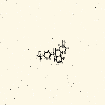 FC(F)(F)c1ccc(Nc2nccnc2N2CCNCC2)cn1